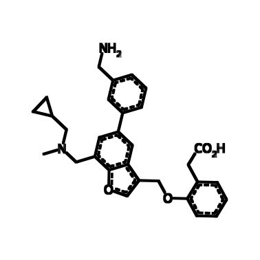 CN(Cc1cc(-c2cccc(CN)c2)cc2c(COc3ccccc3CC(=O)O)coc12)CC1CC1